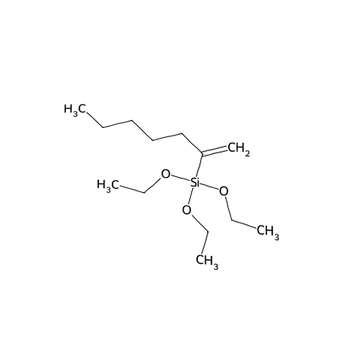 C=C(CCCCC)[Si](OCC)(OCC)OCC